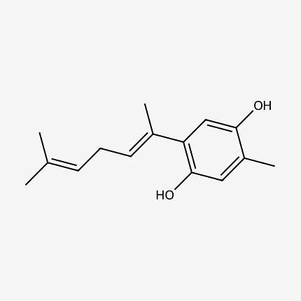 CC(C)=CCC=C(C)c1cc(O)c(C)cc1O